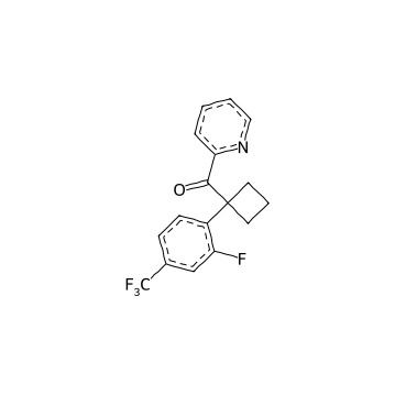 O=C(c1ccccn1)C1(c2ccc(C(F)(F)F)cc2F)CCC1